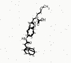 COCCN(Cc1nc2cc(NC(=O)CC3C4CC5CC(C4)CC3C5)ccc2[nH]1)C(=O)O